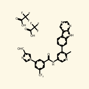 Cc1ncc(NC(=O)c2cc(-n3cnc(C=O)c3)cc(C(F)(F)F)c2)cc1-c1ccc2c(c1)[nH]c1ncncc12.O=C(O)C(F)(F)F.O=C(O)C(F)(F)F